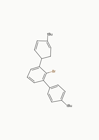 CC(C)(C)C1=CCC(c2cccc(-c3ccc(C(C)(C)C)cc3)c2Br)C=C1